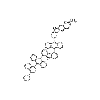 C=C/C=C\c1cc2c(cc1C)oc1ccc(-c3c4ccccc4c(-c4cccc5oc6c(-c7c8ccccc8c(-c8ccc(-c9ccccc9)c9ccccc89)c8ccccc78)cccc6c45)c4ccccc34)cc12